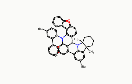 Cc1cc2c3c(c1)N(c1ccc(C(C)(C)C)cc1-c1ccccc1)c1c(ccc4oc5ccccc5c14)B3N1c3c-2cc(C(C)(C)C)cc3C2(C)CCCC[C@@]12C